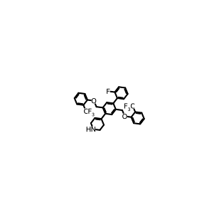 Fc1ccccc1-c1cc(COc2ccccc2C(F)(F)F)c(C2=CCNCC2)cc1COc1ccccc1C(F)(F)F